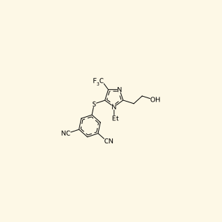 CCn1c(CCO)nc(C(F)(F)F)c1Sc1cc(C#N)cc(C#N)c1